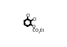 CCOC(=O)Oc1cc[c]c(Cl)c1Cl